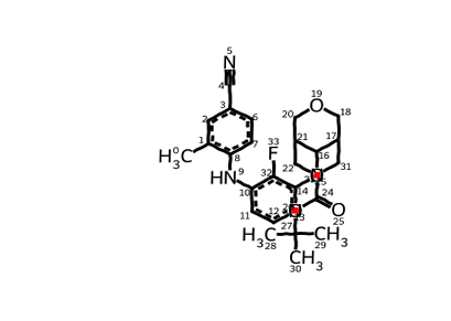 Cc1cc(C#N)ccc1Nc1ccnc(OC2C3COCC2CN(C(=O)OC(C)(C)C)C3)c1F